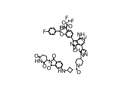 C[C@H](Oc1cc(-c2nn(C)c3c(-c4cnn(C5CCN(C(=O)[C@H]6C[C@H](Nc7ccc8c(c7)C(=O)N(C7CCC(=O)NC7=O)C8=O)C6)CC5)c4)cnc(N)c23)ccc1NS(=O)(=O)C(F)F)c1ccc(F)cc1